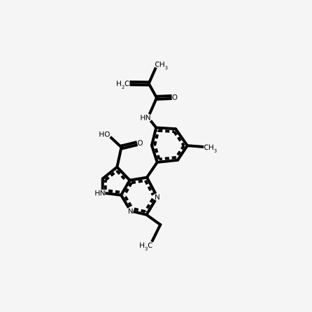 C=C(C)C(=O)Nc1cc(C)cc(-c2nc(CC)nc3[nH]cc(C(=O)O)c23)c1